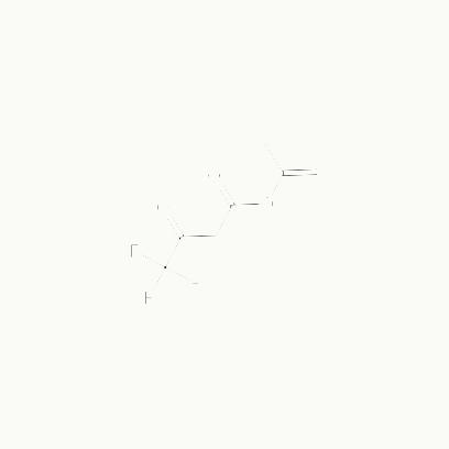 C=C(C)OC(=O)CC(=O)C(F)(F)F